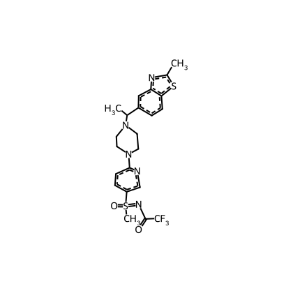 Cc1nc2cc(C(C)N3CCN(c4ccc(S(C)(=O)=NC(=O)C(F)(F)F)cn4)CC3)ccc2s1